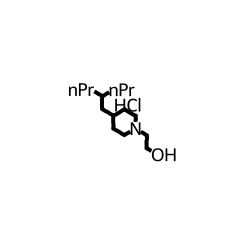 CCCC(CCC)CC1CCN(CCO)CC1.Cl